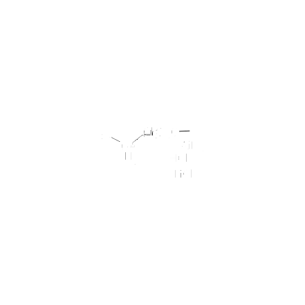 CC(Cl)(Cl)Cl.Cl.Cl.Cl.[AlH3].[Cl][GeH2][Cl]